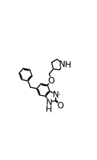 O=C1[N]c2c(cc(Cc3ccccc3)cc2OCC2CCNC2)N1